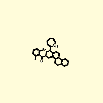 Cc1cccc(Br)c1C(=O)C1C=c2c(ccc3c2=CCc2ccccc2-3)C(C2=CC=CC=CN2)C1